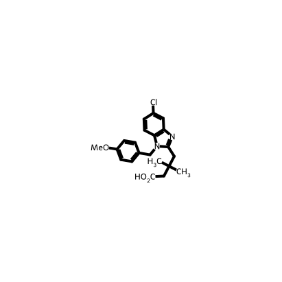 COc1ccc(Cn2c(CC(C)(C)CC(=O)O)nc3cc(Cl)ccc32)cc1